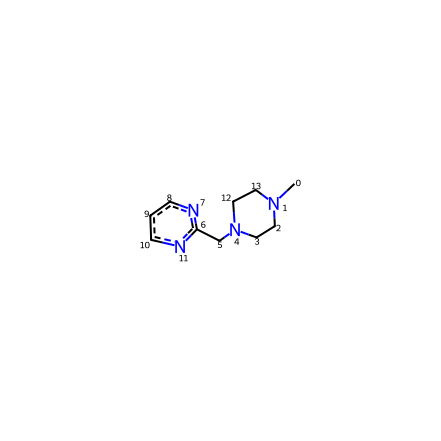 CN1CCN(Cc2ncccn2)CC1